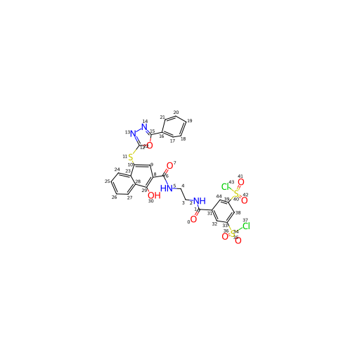 O=C(NCCNC(=O)c1cc(Sc2nnc(-c3ccccc3)o2)c2ccccc2c1O)c1cc(S(=O)(=O)Cl)cc(S(=O)(=O)Cl)c1